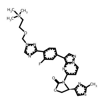 Cc1nc([C@H]2COC(=O)N2c2ccn3ncc(-c4ccc(-c5ncn(COCC[Si](C)(C)C)n5)c(F)c4)c3n2)cs1